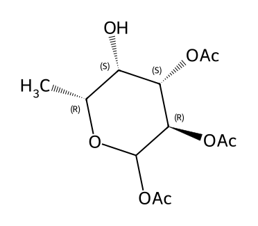 CC(=O)OC1O[C@H](C)[C@H](O)[C@H](OC(C)=O)[C@H]1OC(C)=O